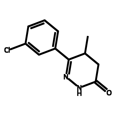 CC1CC(=O)NN=C1c1cccc(Cl)c1